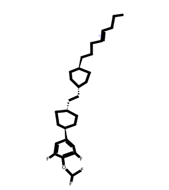 CCC/C=C/CCC[C@H]1CC[C@H](CC[C@H]2CC[C@H](c3cc(F)c(OC(F)F)c(F)c3)CC2)CC1